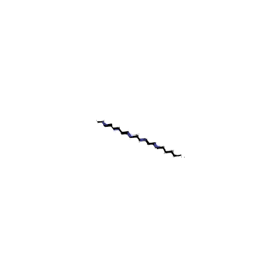 CC/C=C/C/C=C/C/C=C/C/C=C/C/C=C/CCCCCO